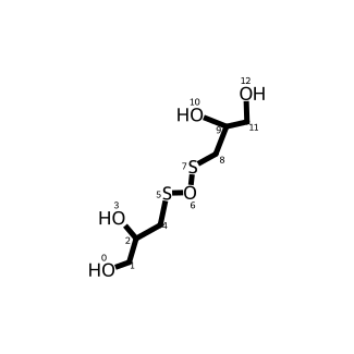 OCC(O)CSOSCC(O)CO